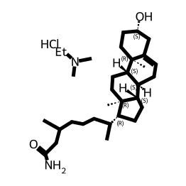 CC(CCCC(C)[C@H]1CC[C@H]2[C@@H]3CC=C4C[C@@H](O)CC[C@]4(C)[C@H]3CC[C@]12C)CC(N)=O.CCN(C)C.Cl